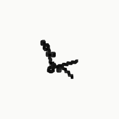 CCCCCCCC(=CC(=O)c1cn(CCCC(=O)OCc2ccc(OC)cc2)c2ccccc12)CCCCCCC